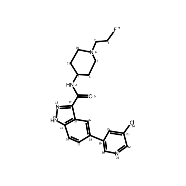 O=C(NC1CCN(CCF)CC1)c1n[nH]c2ccc(-c3cncc(Cl)c3)cc12